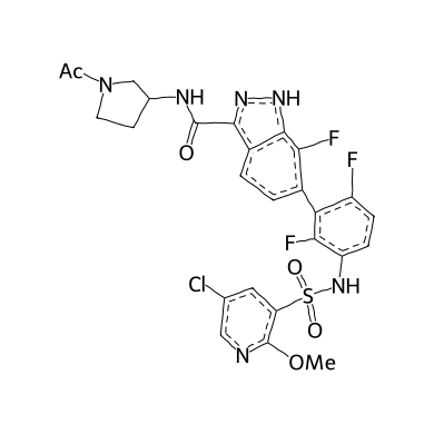 COc1ncc(Cl)cc1S(=O)(=O)Nc1ccc(F)c(-c2ccc3c(C(=O)NC4CCN(C(C)=O)C4)n[nH]c3c2F)c1F